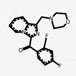 O=C(c1ccc(F)cc1F)c1nc(CN2CCOCC2)c2ccccn12